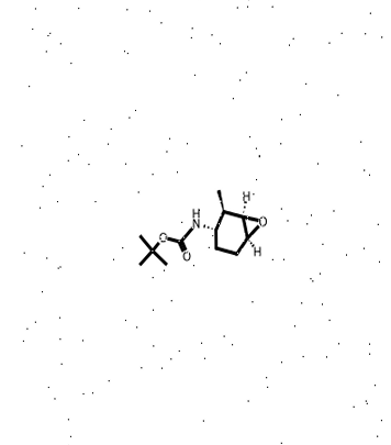 C[C@H]1[C@H]2O[C@H]2CC[C@@H]1NC(=O)OC(C)(C)C